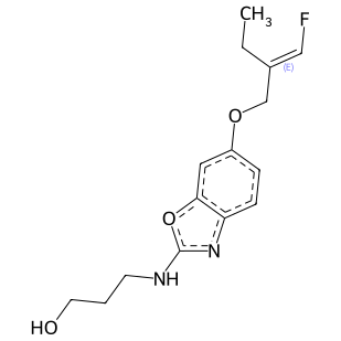 CC/C(=C\F)COc1ccc2nc(NCCCO)oc2c1